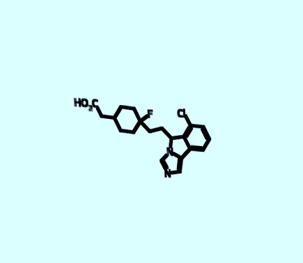 O=C(O)CC1CCC(F)(CCC2c3c(Cl)cccc3-c3cncn32)CC1